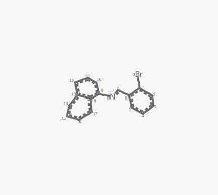 Brc1ccccc1/C=N/c1cccc2ccccc12